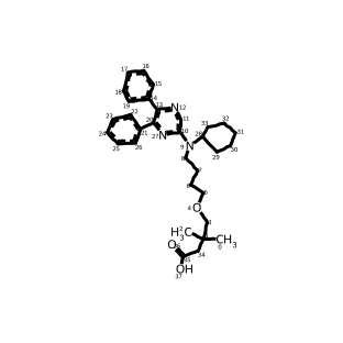 CC(C)(COCCCCN(c1cnc(-c2ccccc2)c(-c2ccccc2)n1)C1CCCCC1)CC(=O)O